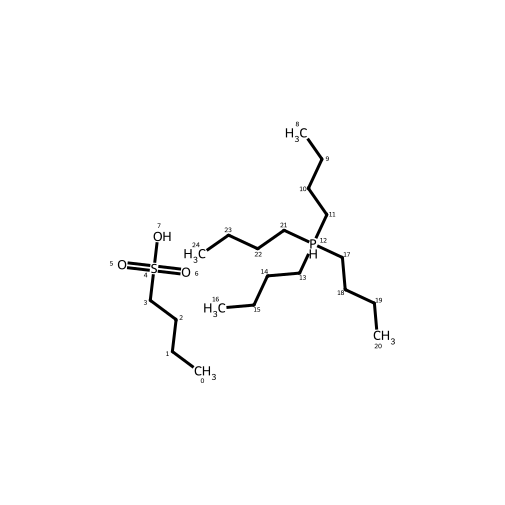 CCCCS(=O)(=O)O.CCCC[PH](CCCC)(CCCC)CCCC